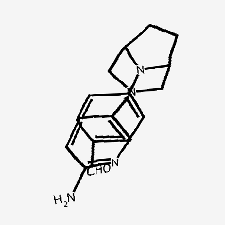 Nc1ccc(N2CC3CCC(C2)N3c2ccc(C=O)cc2)cn1